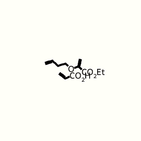 C=CC(=O)O.C=CCCOC(=C)C(=O)OCC